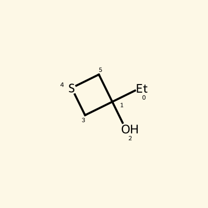 CCC1(O)CSC1